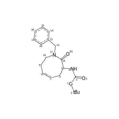 CC(C)(C)OC(=O)NC1CC=CCCN(Cc2ccccc2)C1=O